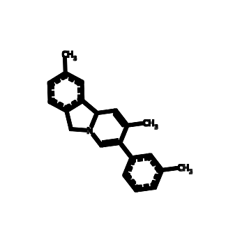 CC1=CC2c3cc(C)ccc3CN2C=C1c1cccc(C)c1